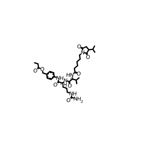 CCC(=O)OCc1ccc(NC(=O)[C@H](CCCNC(N)=O)NC(=O)[C@@H](NC(=O)CCCCCN2C(=O)CC(C(C)C)C2=O)C(C)C)cc1